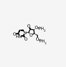 O=C1[C@H](n2ccc(=O)[nH]c2=O)O[C@H](COP)[C@H]1OP